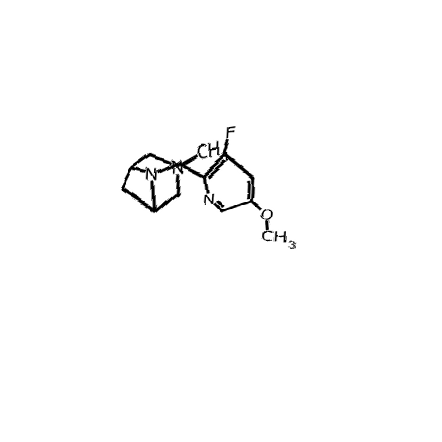 COc1cnc(CN2C3CC2CN(C)C3)c(F)c1